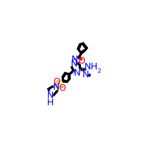 C=N/C(N)=C(\N=C(/C)c1ccc(S(=O)(=O)N2CCNCC2)cc1)c1nnc(-c2ccccc2)o1